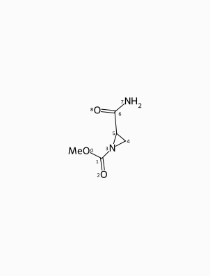 COC(=O)N1CC1C(N)=O